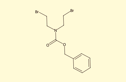 O=C(OCc1ccccc1)N(CCBr)CCBr